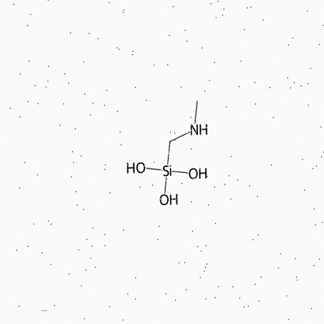 CNC[Si](O)(O)O